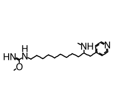 CNC(CCCCCCCCCNC(=N)OC)Cc1ccncc1